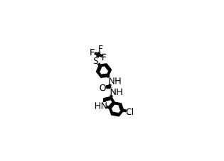 O=C(Nc1ccc(SC(F)(F)F)cc1)Nc1c[nH]c2ccc(Cl)cc12